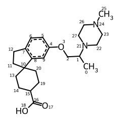 CC(COc1ccc2c(c1)C1(CC2)CCC(C(=O)O)CC1)N1CCN(C)CC1